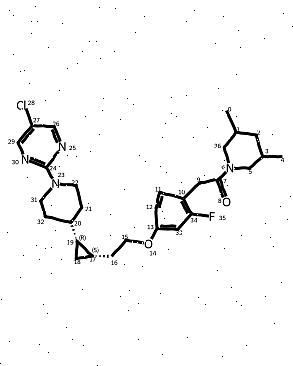 CC1CC(C)CN(C(=O)Cc2ccc(OCC[C@@H]3C[C@@H]3C3CCN(c4ncc(Cl)cn4)CC3)cc2F)C1